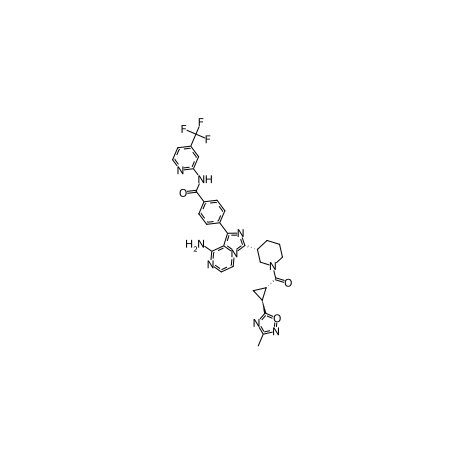 Cc1noc([C@H]2C[C@@H]2C(=O)N2CCC[C@@H](c3nc(-c4ccc(C(=O)Nc5cc(C(F)(F)F)ccn5)cc4)c4c(N)nccn34)C2)n1